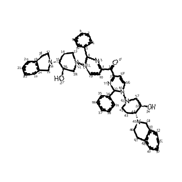 O=C(C1=NC(c2ccccc2)N(N2CC[C@@H](N3CCc4ccccc4C3)[C@H](O)C2)C=C1)C1=NC(c2ccccc2)N(N2CC[C@@H](N3CCc4ccccc4C3)[C@H](O)C2)C=C1